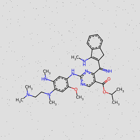 CNC1=C(C(=N)c2nc(Nc3cc(NC)c(N(C)CCN(C)C)cc3OC)ncc2C(=O)OC(C)C)Cc2ccccc21